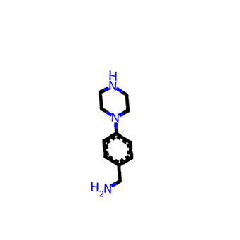 NCc1ccc(N2CCNCC2)cc1